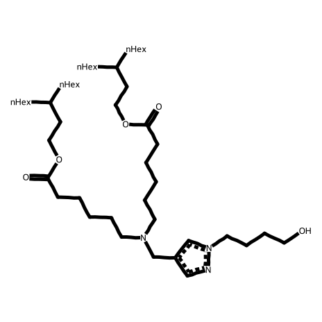 CCCCCCC(CCCCCC)CCOC(=O)CCCCCN(CCCCCC(=O)OCCC(CCCCCC)CCCCCC)Cc1cnn(CCCCO)c1